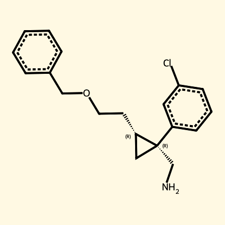 NC[C@]1(c2cccc(Cl)c2)C[C@@H]1CCOCc1ccccc1